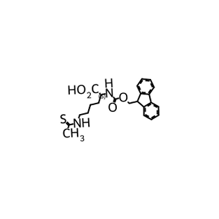 CC(=S)NCCCC[C@H](NC(=O)OCC1c2ccccc2-c2ccccc21)C(=O)O